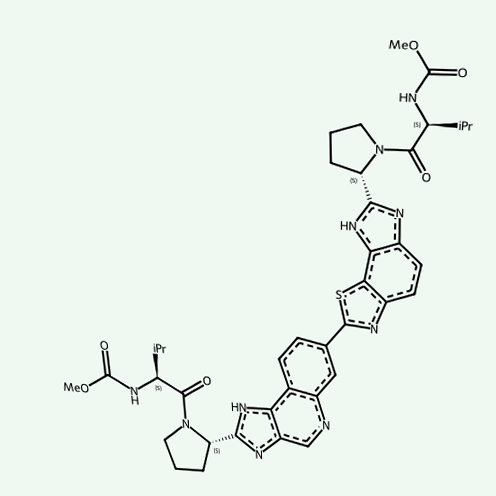 COC(=O)N[C@H](C(=O)N1CCC[C@H]1c1nc2cnc3cc(-c4nc5ccc6nc([C@@H]7CCCN7C(=O)[C@@H](NC(=O)OC)C(C)C)[nH]c6c5s4)ccc3c2[nH]1)C(C)C